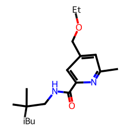 CCOCc1cc(C)nc(C(=O)NCC(C)(C)C(C)CC)c1